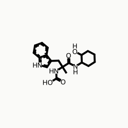 CC(Cc1c[nH]c2ccccc12)(NC(=O)O)C(=O)NC1CCCCC1O